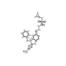 CN1C2C1C21Cc2ccc(OCCNS(=O)(=O)CC3CC3)cc2C1Cc1ccccc1